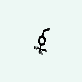 CS(C)(C)c1ccc(C=O)cc1